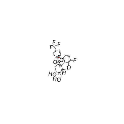 O=S(=O)(c1ccc(C(F)(F)F)cc1)[C@@]12CCC(O)[C@@H](CO)[C@@H]1COc1c(F)ccc(F)c12